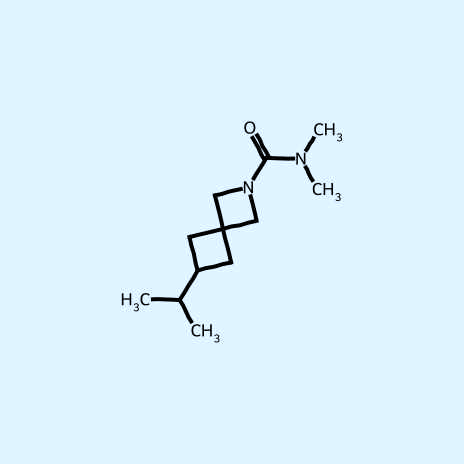 CC(C)C1CC2(C1)CN(C(=O)N(C)C)C2